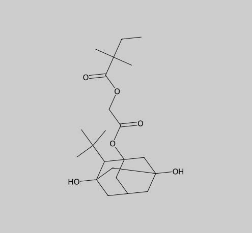 CCC(C)(C)C(=O)OCC(=O)OC12CC3CC(O)(CC(O)(C3)C1C(C)(C)C)C2